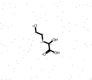 O=C(O)C(O)SCCCl